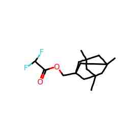 CC12CC3(C)CC(C)(C1)CC(COC(=O)C(F)F)(C2)C3